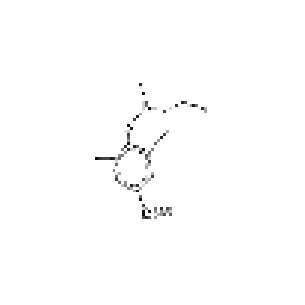 COc1cc(C)c(SN(C)CCI)c(C)c1